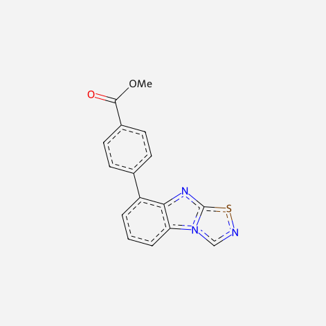 COC(=O)c1ccc(-c2cccc3c2nc2sncn23)cc1